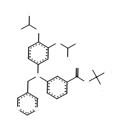 CC(C)Oc1cc(N(Cc2cncnc2)c2cccc(C(=O)OC(C)(C)C)c2)ccc1OC(F)F